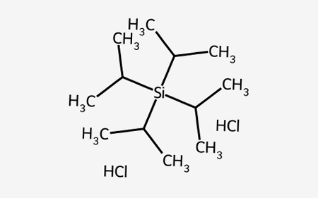 CC(C)[Si](C(C)C)(C(C)C)C(C)C.Cl.Cl